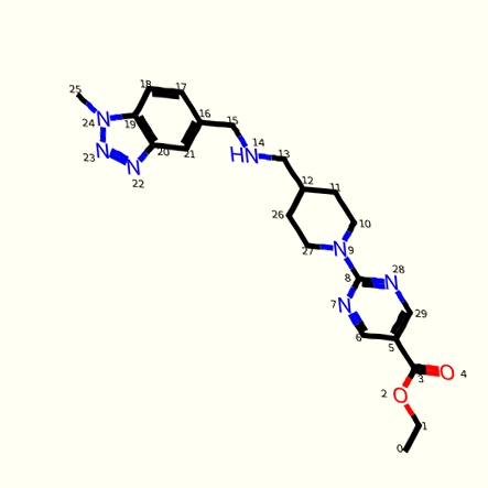 CCOC(=O)c1cnc(N2CCC(CNCc3ccc4c(c3)nnn4C)CC2)nc1